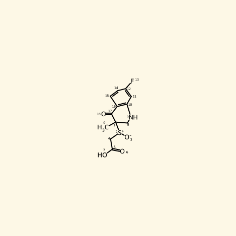 CC1([S+]([O-])CC(=O)O)CNc2cc(F)ccc2C1=O